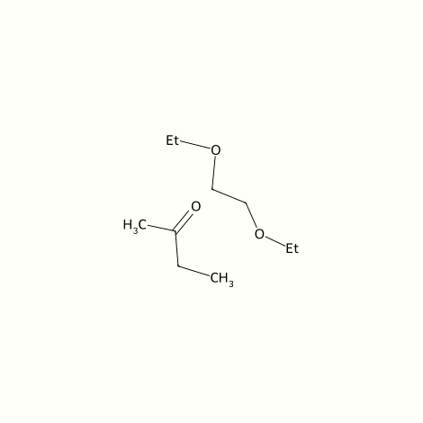 CCC(C)=O.CCOCCOCC